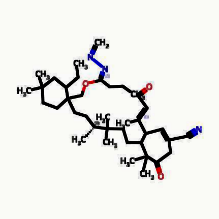 C=N/N=C(/CCC)OCC1(CC[C@@H](C)C(C)(C)CCC2C(/C(C)=C/C=O)C=C(C#N)CC(=O)C2(C)C)CCC(C)(C)CC1CC